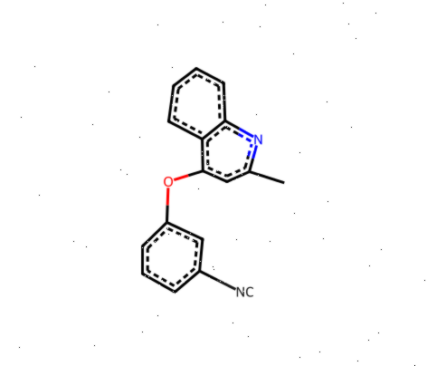 [C-]#[N+]c1cccc(Oc2cc(C)nc3ccccc23)c1